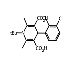 CC1=C(C(=O)O)C(c2cccc(Cl)c2Cl)C(C(=O)O)=C(C)N1C(C)(C)C